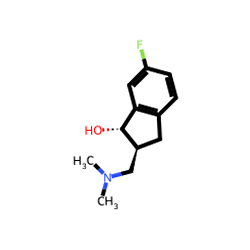 CN(C)C[C@@H]1Cc2ccc(F)cc2[C@H]1O